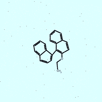 CCOc1ccc2ccccc2c1-c1cccc2ccccc12